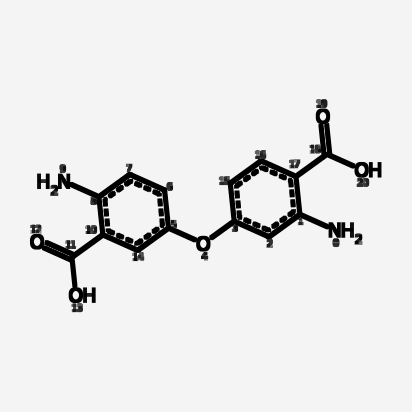 Nc1cc(Oc2ccc(N)c(C(=O)O)c2)ccc1C(=O)O